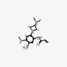 C=CC(=O)Nc1cc(N)c(OC)cc1N1CC(N(C)C)C1